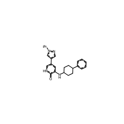 CC(C)n1cc(-c2c[nH]c(=O)c(NC3CCC(c4ccccc4)CC3)c2)cn1